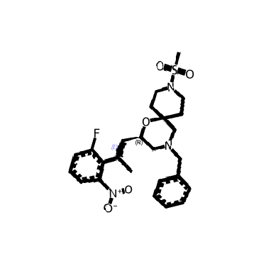 C/C(=C\[C@@H]1CN(Cc2ccccc2)CC2(CCN(S(C)(=O)=O)CC2)O1)c1c(F)cccc1[N+](=O)[O-]